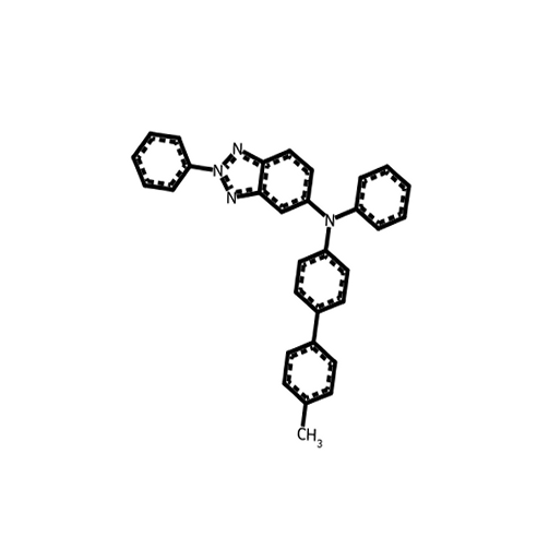 Cc1ccc(-c2ccc(N(c3ccccc3)c3ccc4nn(-c5ccccc5)nc4c3)cc2)cc1